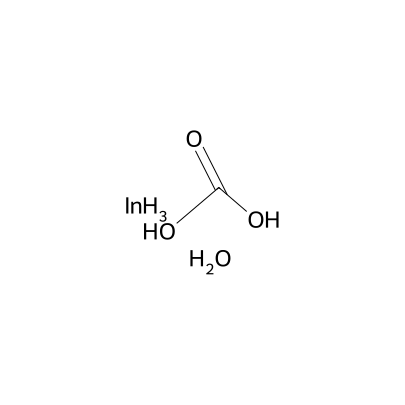 O.O=C(O)O.[InH3]